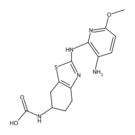 COc1ccc(N)c(Nc2nc3c(s2)CC(NC(=O)O)CC3)n1